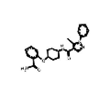 Cc1c(C(=O)NC2CCC(Oc3ccccc3C(N)=O)CC2)cnn1-c1ccccc1